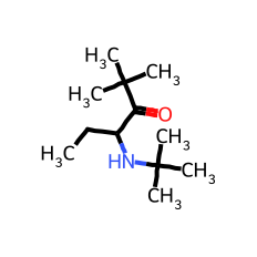 CCC(NC(C)(C)C)C(=O)C(C)(C)C